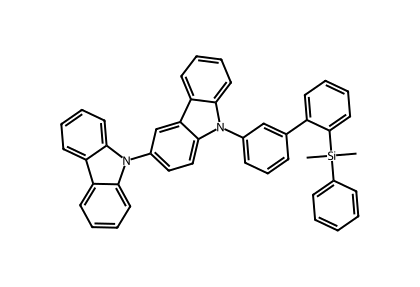 C[Si](C)(c1ccccc1)c1ccccc1-c1cccc(-n2c3ccccc3c3cc(-n4c5ccccc5c5ccccc54)ccc32)c1